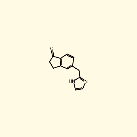 O=C1CCc2cc(Cc3ncc[nH]3)ccc21